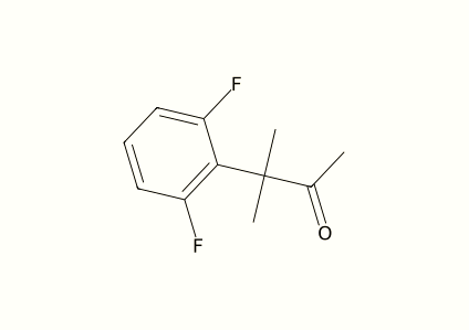 CC(=O)C(C)(C)c1c(F)cccc1F